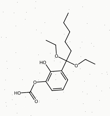 CCCCCC(OCC)(OCC)c1cccc(OC(=O)O)c1O